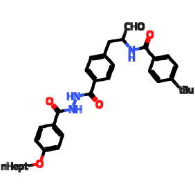 CCCCCCCOc1ccc(C(=O)NNC(=O)c2ccc(CC(C=O)NC(=O)c3ccc(C(C)(C)C)cc3)cc2)cc1